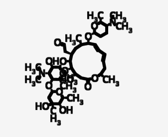 CO[C@@H]1[C@@H](O[C@@H]2O[C@H](C)[C@@H](O[C@H]3C[C@@](C)(O)[C@@H](O)[C@H](C)O3)[C@H](N(C)C)[C@H]2O)[C@@H](CC=O)C[C@@H](C)[C@@H](O[C@H]2CC[C@H](N(C)C)[C@H](C)O2)/C=C/C=C/C[C@@H](C)OC(=O)C[C@H]1O